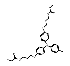 CCC(=O)OCCCOc1ccc(N(c2ccc(C)cc2)c2ccc(OCCCOC(=O)CC)cc2)cc1